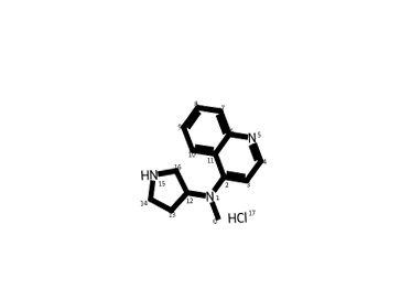 CN(c1ccnc2ccccc12)C1CCNC1.Cl